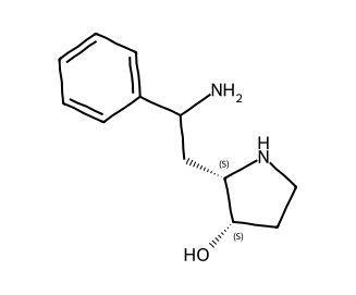 NC(C[C@@H]1NCC[C@@H]1O)c1ccccc1